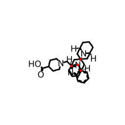 O=C(O)C1CCN(Cc2nc3ccccc3n2[C@H]2C[C@H]3CCC[C@@H](C2)N3[C@H]2C[C@@H]3CCC[C@@H](C3)C2)CC1